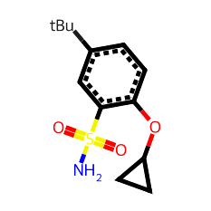 CC(C)(C)c1ccc(OC2CC2)c(S(N)(=O)=O)c1